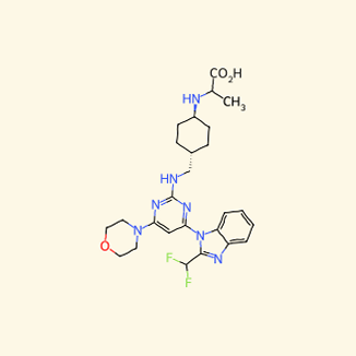 CC(N[C@H]1CC[C@H](CNc2nc(N3CCOCC3)cc(-n3c(C(F)F)nc4ccccc43)n2)CC1)C(=O)O